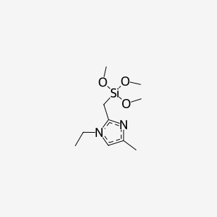 CCn1cc(C)nc1C[Si](OC)(OC)OC